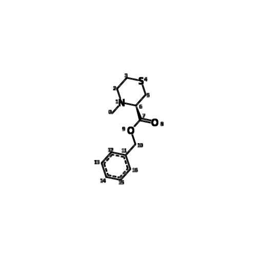 CN1CCSC[C@H]1C(=O)OCc1ccccc1